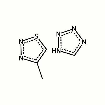 Cc1csnn1.c1nnn[nH]1